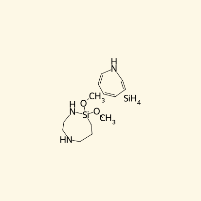 C1=CC=CNC=C1.CO[Si]1(OC)CCCNCCN1.[SiH4]